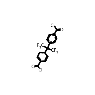 O=C(Cl)C1=CCC(C(c2ccc(C(=O)Cl)cc2)(C(F)(F)F)C(F)(F)F)C=C1